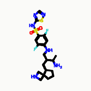 CC(N)C(CNc1cc(F)c(S(=O)(=O)Nc2ncns2)cc1F)CC1CCCC12CNC2